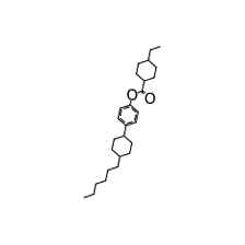 CCCCCCC1CCC(c2ccc(OC(=O)C3CCC(CC)CC3)cc2)CC1